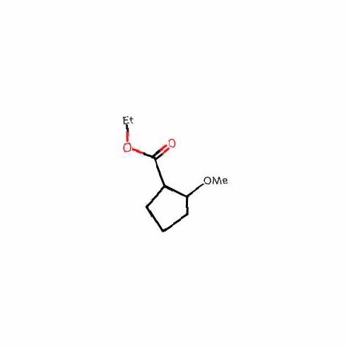 CCOC(=O)C1CCCC1OC